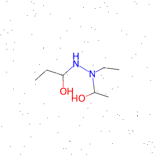 CCC(O)NN(CC)C(C)O